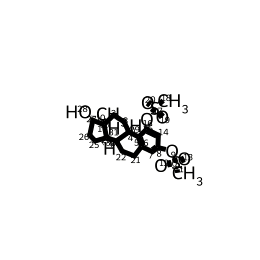 C[C@]12CC[C@@H]3c4c(cc(OS(C)(=O)=O)cc4OS(C)(=O)=O)CC[C@@H]3[C@@H]1CC[C@@H]2O